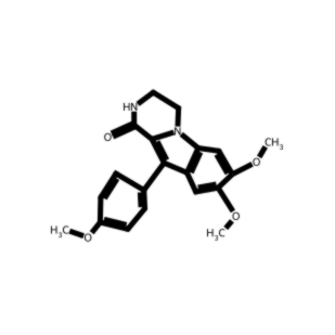 COc1ccc(-c2c3n(c4cc(OC)c(OC)cc24)CCNC3=O)cc1